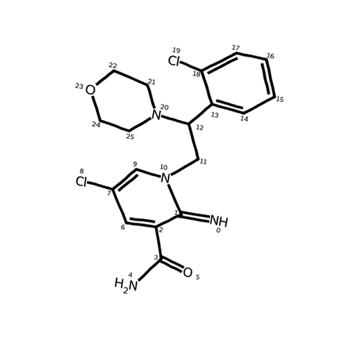 N=c1c(C(N)=O)cc(Cl)cn1CC(c1ccccc1Cl)N1CCOCC1